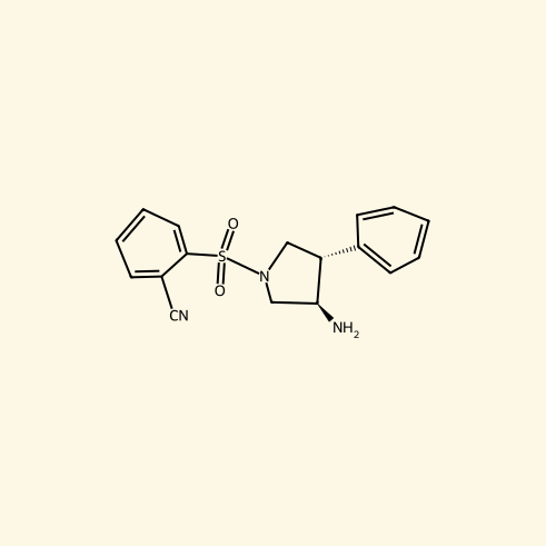 N#Cc1ccccc1S(=O)(=O)N1C[C@H](c2ccccc2)[C@@H](N)C1